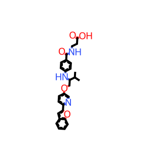 CC(C)C(COc1ccc(-c2cc3ccccc3o2)nc1)Nc1ccc(C(=O)NCCC(=O)O)cc1